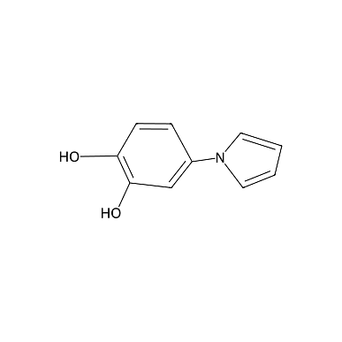 Oc1ccc(-n2cccc2)cc1O